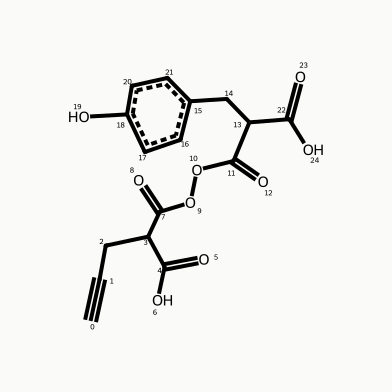 C#CCC(C(=O)O)C(=O)OOC(=O)C(Cc1ccc(O)cc1)C(=O)O